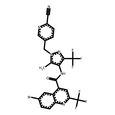 Cc1c(NC(=O)c2cc(C(F)(F)F)nc3ccc(Br)cc23)c(C(F)(F)F)nn1Cc1ccc(C#N)nc1